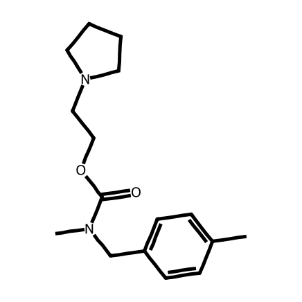 Cc1ccc(CN(C)C(=O)OCCN2CCCC2)cc1